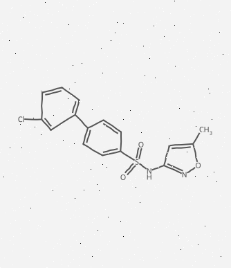 Cc1cc(NS(=O)(=O)c2ccc(-c3cccc(Cl)c3)cc2)no1